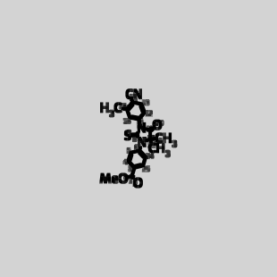 COC(=O)c1ccc(N2C(=S)N(c3ccc(C#N)c(C)c3)C(=O)C2(C)C)cc1